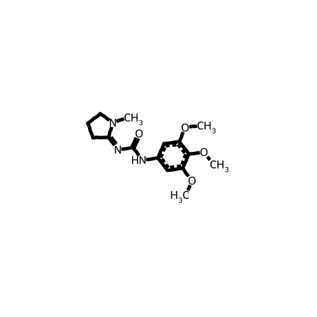 COc1cc(NC(=O)N=C2CCCN2C)cc(OC)c1OC